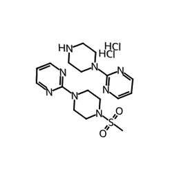 CS(=O)(=O)N1CCN(c2ncccn2)CC1.Cl.Cl.c1cnc(N2CCNCC2)nc1